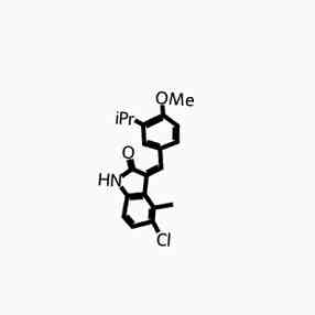 COc1ccc(C=C2C(=O)Nc3ccc(Cl)c(C)c32)cc1C(C)C